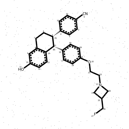 N#Cc1ccc([C@H]2CCc3cc(O)ccc3[C@H]2c2ccc(OCCN3CC(CF)C3)cc2)cc1